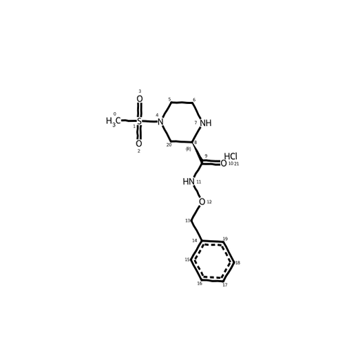 CS(=O)(=O)N1CCN[C@@H](C(=O)NOCc2ccccc2)C1.Cl